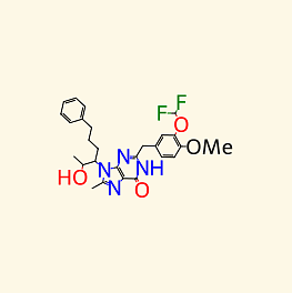 COc1ccc(Cc2nc3c(nc(C)n3C(CCCc3ccccc3)C(C)O)c(=O)[nH]2)cc1OC(F)F